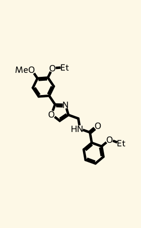 CCOc1cc(-c2nc(CNC(=O)c3ccccc3OCC)co2)ccc1OC